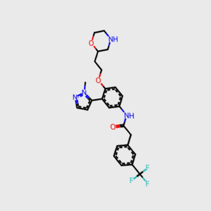 Cn1nccc1-c1cc(NC(=O)Cc2cccc(C(F)(F)F)c2)ccc1OCCC1CNCCO1